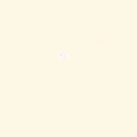 OCC(O)CNC1CCc2ccccc2C1